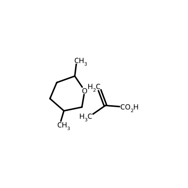 C=C(C)C(=O)O.CC1CCC(C)OC1